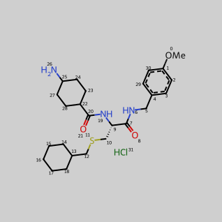 COc1ccc(CNC(=O)[C@H](CSCC2CCCCC2)NC(=O)C2CCC(N)CC2)cc1.Cl